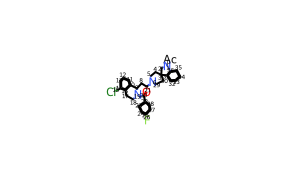 CC(=O)N1CC2(CCN(CCC3c4cccc(Cl)c4CCN3C(=O)c3ccc(F)cc3)CC2)c2ccccc21